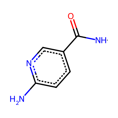 [NH]C(=O)c1ccc(N)nc1